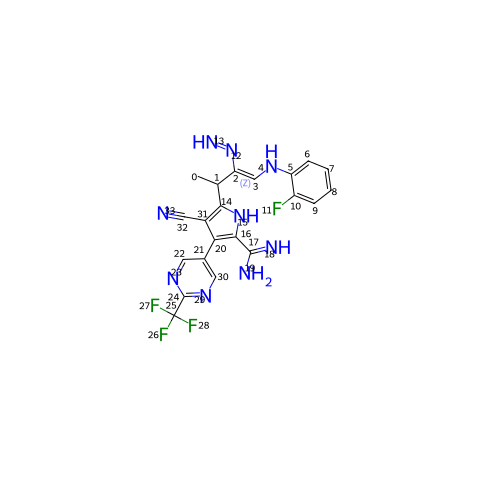 CC(/C(=C/Nc1ccccc1F)N=N)c1[nH]c(C(=N)N)c(-c2cnc(C(F)(F)F)nc2)c1C#N